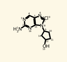 Cl.Nc1ncc2ncn(C3CCC(O)C3)c2n1